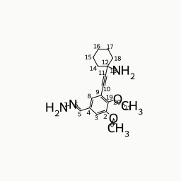 COc1cc(C=NN)cc(C#CC2(N)CCCCC2)c1OC